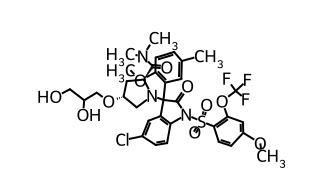 COc1ccc(S(=O)(=O)N2C(=O)C(c3cc(C)ccc3OC)(N3C[C@H](OCC(O)CO)C[C@H]3C(=O)N(C)C)c3cc(Cl)ccc32)c(OC(F)(F)F)c1